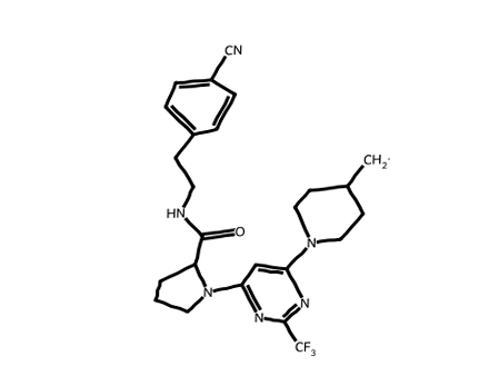 [CH2]C1CCN(c2cc(N3CCCC3C(=O)NCCc3ccc(C#N)cc3)nc(C(F)(F)F)n2)CC1